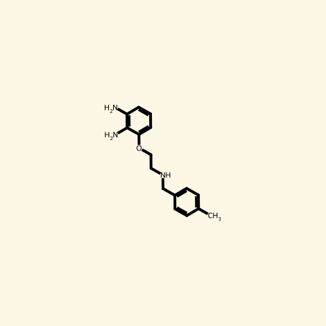 Cc1ccc(CNCCOc2cccc(N)c2N)cc1